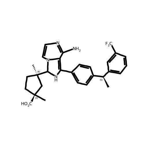 C[C@@H](c1ccc(C2=C3C(N)=NC=CN3C([C@]3(C)CC[C@](C)(C(=O)O)C3)N2)cc1)c1cccc(C(F)(F)F)c1